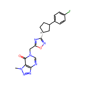 Cn1nnc2ncn(Cc3nc([C@@H]4CCC(c5ccc(F)cc5)C4)no3)c(=O)c21